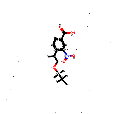 CC(CO[Si](C)(C)C(C)(C)C)c1ccc(C(=O)O)cc1[N+](=O)[O-]